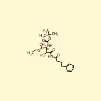 CCSC(C)[C@H](NC(=O)OC(C)(C)C)C(O)C(=O)NC(=O)CCCc1ccccc1